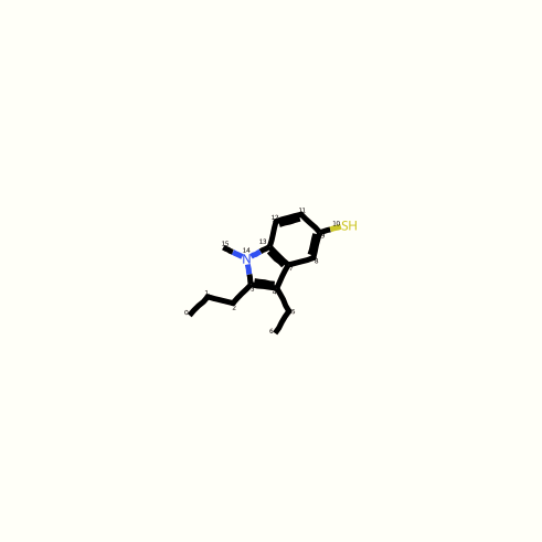 CCCc1c(CC)c2cc(S)ccc2n1C